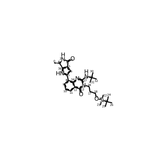 C[C@H]1NC(=O)c2cc(-c3cccc4c(=O)n(CCCO[Si](C)(C)C(C)(C)C)c(NC(C)(C)C)nc34)[nH]c21